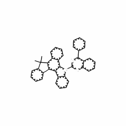 CC1(C)c2ccccc2-c2c1c1ccccc1c1c2c2ccccc2n1-c1nc(-c2ccccc2)c2ccccc2n1